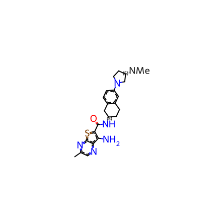 CN[C@H]1CCN(c2ccc3c(c2)CC[C@H](NC(=O)c2sc4nc(C)cnc4c2N)C3)C1